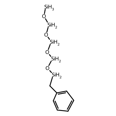 [SiH3]O[SiH2]O[SiH2]O[SiH2]O[SiH2]Cc1ccccc1